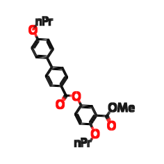 CCCOc1ccc(-c2ccc(C(=O)Oc3ccc(OCCC)c(C(=O)OC)c3)cc2)cc1